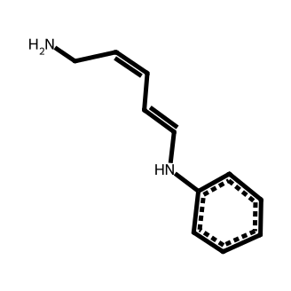 NC/C=C\C=C\Nc1ccccc1